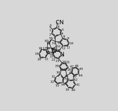 Cc1cc2c(cc1C#N)-c1cccc(-c3nc(-c4ccccc4)cc(-c4ccc5c(c4)-c4ccccc4C54c5ccccc5-c5ccccc54)n3)c1C21C2CC3CC(C2)CC1C3